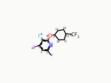 Cc1cc(I)c(F)c(OC2CCC(C(F)(F)F)CC2)n1